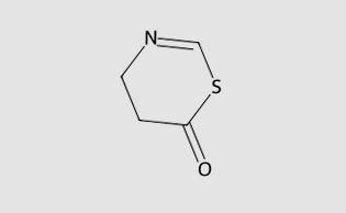 O=C1CCN=CS1